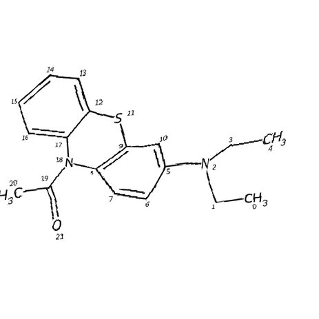 CCN(CC)c1ccc2c(c1)Sc1ccccc1N2C(C)=O